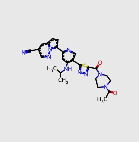 CC(=O)N1CCN(C(=O)c2nnc(-c3cnc(-c4ccc5cc(C#N)cnn45)cc3NC(C)C)s2)CC1